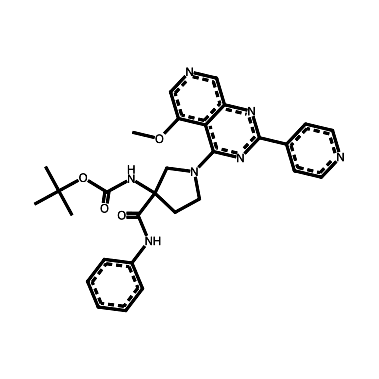 COc1cncc2nc(-c3ccncc3)nc(N3CCC(NC(=O)OC(C)(C)C)(C(=O)Nc4ccccc4)C3)c12